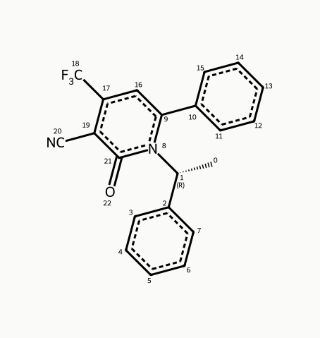 C[C@H](c1ccccc1)n1c(-c2ccccc2)cc(C(F)(F)F)c(C#N)c1=O